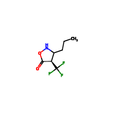 CCCC1NOC(=O)[C@@H]1C(F)(F)F